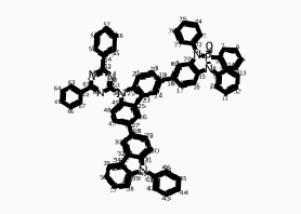 O=P1(c2ccccc2)N(c2ccccc2)c2ccc(-c3ccc4c(c3)c3cc(-c5ccc6c(c5)c5ccccc5n6-c5ccccc5)ccc3n4-c3nc(-c4ccccc4)nc(-c4ccccc4)n3)cc2N1c1ccccc1